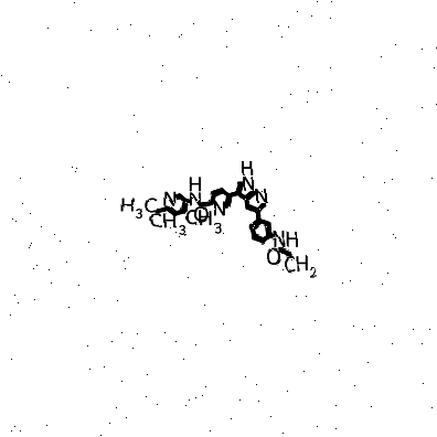 C=CC(=O)Nc1cccc(-c2cnc3[nH]cc(-c4ccc(C(=O)Nc5cnc(C(C)C)cc5C)nc4)c3c2)c1